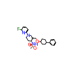 CS(=O)(=O)NC1CCN(c2cccc(F)n2)C[C@H]1COC1CCC(c2ccccc2)CC1